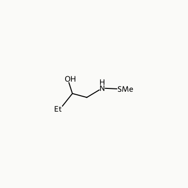 CCC(O)CNSC